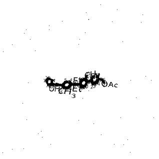 CCC(CC)(c1ccc(C#CC2(O)CCCC2)c(C)c1)c1ccc(-c2ccc(COC(C)=O)nc2)c(C)c1